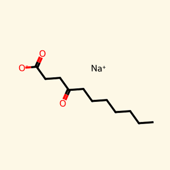 CCCCCCCC(=O)CCC(=O)[O-].[Na+]